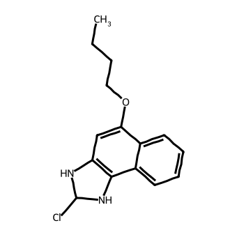 CCCCOc1cc2c(c3ccccc13)NC(Cl)N2